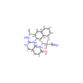 C[C@H](Nc1ncc2ccc(=O)n(CC(C)(C)C#N)c2n1)c1ccc2ccccc2c1